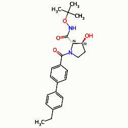 CCc1ccc(-c2ccc(C(=O)N3CC[C@H](O)[C@H]3C(=O)NOC(C)(C)C)cc2)cc1